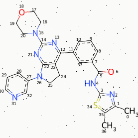 Cc1nc(NC(=O)c2cccc(-c3nc(N4CCOCC4)nc4c3CCN4c3cccnc3)c2)sc1C